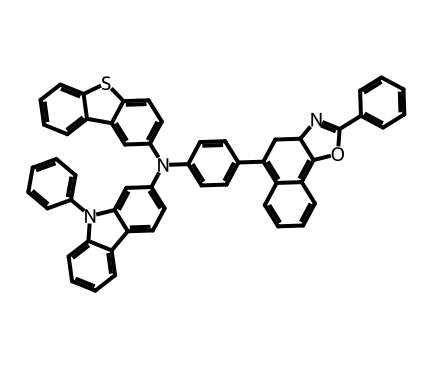 c1ccc(C2=NC3CC(c4ccc(N(c5ccc6sc7ccccc7c6c5)c5ccc6c7ccccc7n(-c7ccccc7)c6c5)cc4)=c4ccccc4=C3O2)cc1